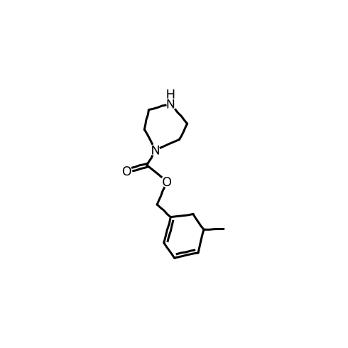 CC1C=CC=C(COC(=O)N2CCNCC2)C1